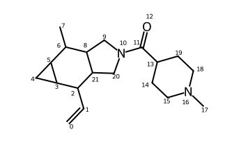 C=CC1C2CC2C(C)C2CN(C(=O)C3CCN(C)CC3)CC12